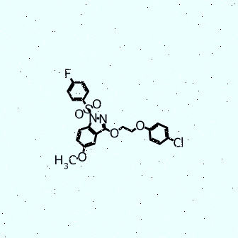 COc1ccc2c(c1)c(OCCOc1ccc(Cl)cc1)nn2S(=O)(=O)c1ccc(F)cc1